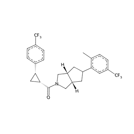 Cc1ccc(C(F)(F)F)cc1C1C[C@@H]2CN(C(=O)[C@@H]3C[C@@H]3c3ccc(C(F)(F)F)cc3)C[C@@H]2C1